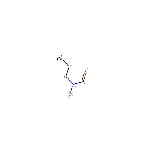 CCN(C=S)CCC(C)(C)C